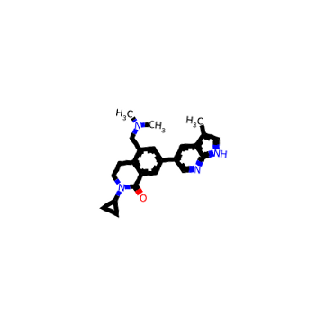 Cc1c[nH]c2ncc(-c3cc(CN(C)C)c4c(c3)C(=O)N(C3CC3)CC4)cc12